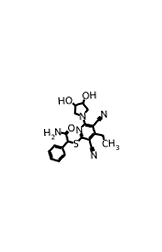 CCc1c(C#N)c(SC(C(N)=O)c2ccccc2)nc(N2CC(O)C(O)C2)c1C#N